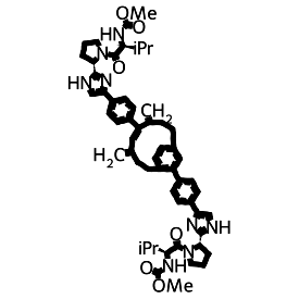 C=C1/C=C(/c2ccc(-c3c[nH]c([C@@H]4CCCN4C(=O)[C@@H](NC(=O)OC)C(C)C)n3)cc2)C(=C)CCc2ccc(c(-c3ccc(-c4c[nH]c([C@@H]5CCCN5C(=O)[C@@H](NC(=O)OC)C(C)C)n4)cc3)c2)CC1